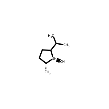 C#[SH]1C(C(C)C)CC[C@H]1C